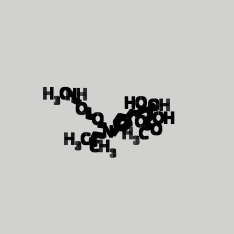 CNCCOCCOCCN(CCC(C)C)Cc1ccc(CC2OC(C(C)=O)C(O)C(O)C2O)cc1